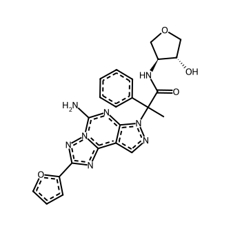 CC(C(=O)N[C@H]1COC[C@@H]1O)(c1ccccc1)n1ncc2c1nc(N)n1nc(-c3ccco3)nc21